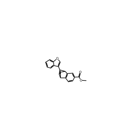 COC(=O)c1ccc2c(c1)C1CC2C=C1c1coc2ccccc12